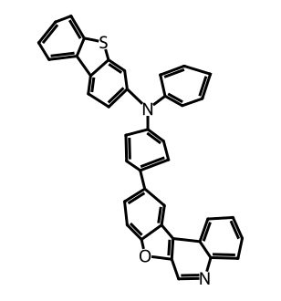 c1ccc(N(c2ccc(-c3ccc4oc5cnc6ccccc6c5c4c3)cc2)c2ccc3c(c2)sc2ccccc23)cc1